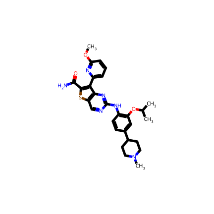 COc1cccc(-c2c(C(N)=O)sc3cnc(Nc4ccc(C5CCN(C)CC5)cc4OC(C)C)nc23)n1